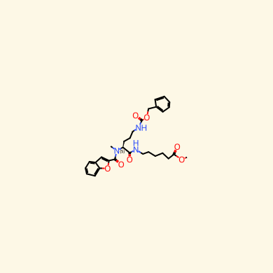 COC(=O)CCCCCNC(=O)[C@H](CCCNC(=O)OCc1ccccc1)N(C)C(=O)c1cc2ccccc2o1